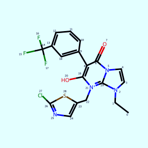 CCn1ccn2c(=O)c(-c3cccc(C(F)(F)F)c3)c(O)[n+](Cc3cnc(Cl)s3)c12